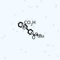 CC(C)(C)OC(=O)N1CCC(CCC(C(=O)O)[N+]2([O-])CCCCC2)CC1